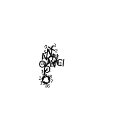 CC(C)(C)n1cnc2c(C(=O)OCc3ccccc3)nc(Cl)nc21